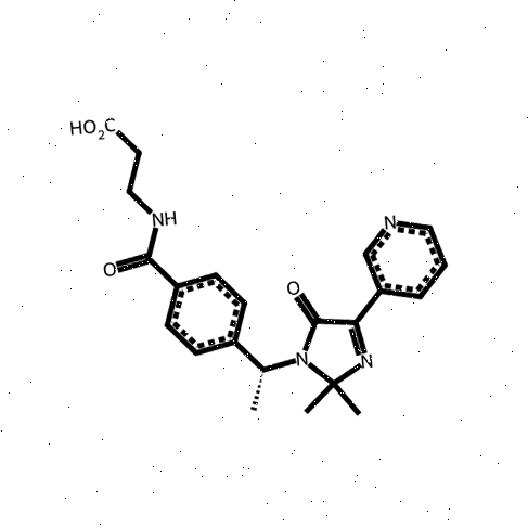 C[C@H](c1ccc(C(=O)NCCC(=O)O)cc1)N1C(=O)C(c2cccnc2)=NC1(C)C